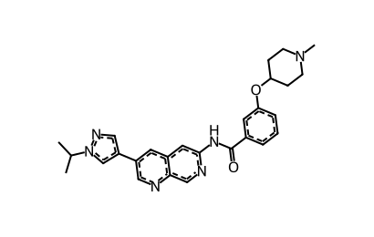 CC(C)n1cc(-c2cnc3cnc(NC(=O)c4cccc(OC5CCN(C)CC5)c4)cc3c2)cn1